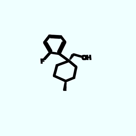 C[C@H]1CC[C@@](CO)(c2ccccc2F)CC1